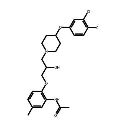 CC(=O)Nc1cc(C)ccc1OCC(O)CN1CCC(Oc2ccc(Cl)c(Cl)c2)CC1